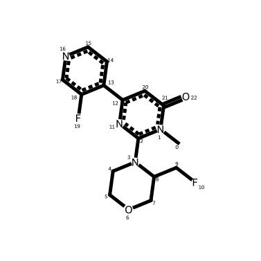 Cn1c(N2CCOCC2CF)nc(-c2ccncc2F)cc1=O